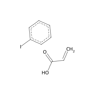 C=CC(=O)O.Ic1ccccc1